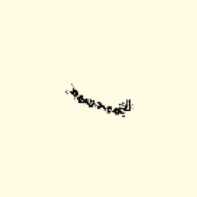 CC1(C)C(NC(=O)c2ccc(N3CCC(CCN4CCN(c5ccc6c(c5)C(=O)N(C5CCC(=O)NC5=O)C6=O)CC4)CC3)nn2)C(C)(C)C1Oc1ccc(C#N)c(Cl)c1